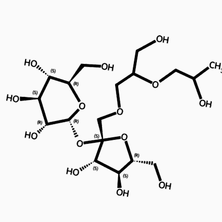 CC(O)COC(CO)COC[C@@]1(O[C@H]2O[C@H](CO)[C@@H](O)[C@H](O)[C@H]2O)O[C@H](CO)[C@@H](O)[C@@H]1O